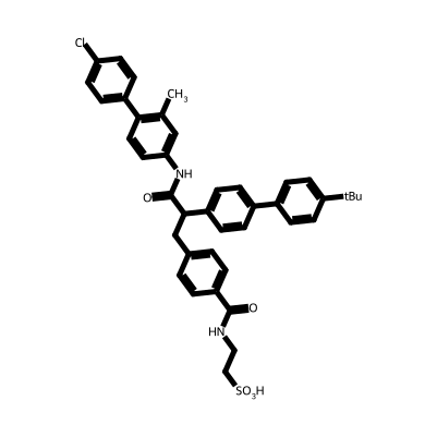 Cc1cc(NC(=O)C(Cc2ccc(C(=O)NCCS(=O)(=O)O)cc2)c2ccc(-c3ccc(C(C)(C)C)cc3)cc2)ccc1-c1ccc(Cl)cc1